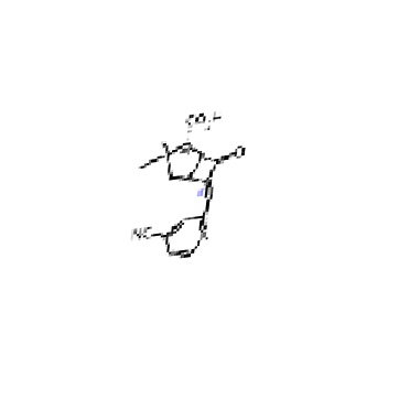 CC1(C)CC2/C(=C\c3cc(C#N)ccn3)C(=O)N2[C@H]1C(=O)O